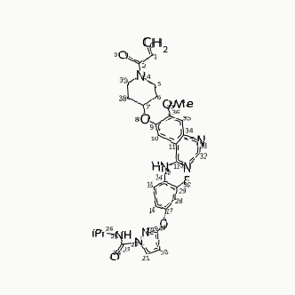 C=CC(=O)N1CCC(Oc2cc3c(Nc4ccc(Oc5ccn(C(=O)NC(C)C)n5)cc4F)ncnc3cc2OC)CC1